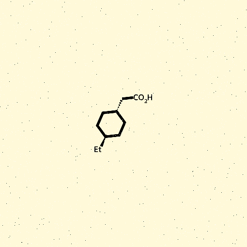 CC[C@H]1CC[C@H](CC(=O)O)CC1